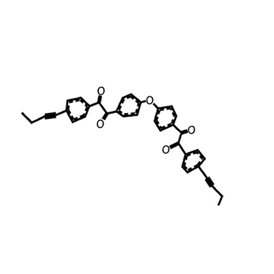 CCC#Cc1ccc(C(=O)C(=O)c2ccc(Oc3ccc(C(=O)C(=O)c4ccc(C#CCC)cc4)cc3)cc2)cc1